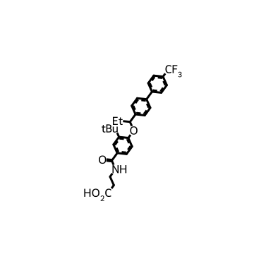 CCC(Oc1ccc(C(=O)NCCC(=O)O)cc1C(C)(C)C)c1ccc(-c2ccc(C(F)(F)F)cc2)cc1